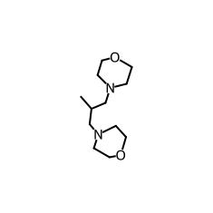 CC(CN1CCOCC1)CN1CCOCC1